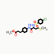 COC(=O)CCc1ccc(NC(=O)C(CCSC)NS(=O)(=O)c2ccc(Cl)cc2)cc1